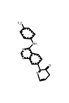 O=C1CC=CN=C1c1ccc2c(Nc3ccc(C(F)(F)F)cc3)ncnc2c1